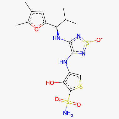 Cc1cc([C@H](Nc2n[s+]([O-])nc2Nc2csc(S(N)(=O)=O)c2O)C(C)C)oc1C